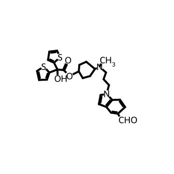 CN(CCCn1ccc2cc(C=O)ccc21)C1CCC(OC(=O)C(O)(c2cccs2)c2cccs2)CC1